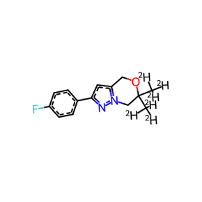 [2H]C([2H])([2H])C1(C([2H])([2H])[2H])Cn2nc(-c3ccc(F)cc3)cc2CO1